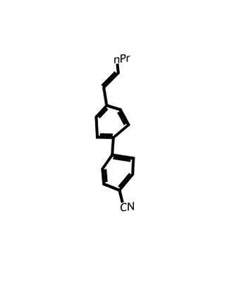 CCCC=Cc1ccc(-c2ccc(C#N)cc2)cc1